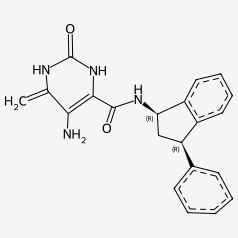 C=C1NC(=O)NC(C(=O)N[C@@H]2C[C@H](c3ccccc3)c3ccccc32)=C1N